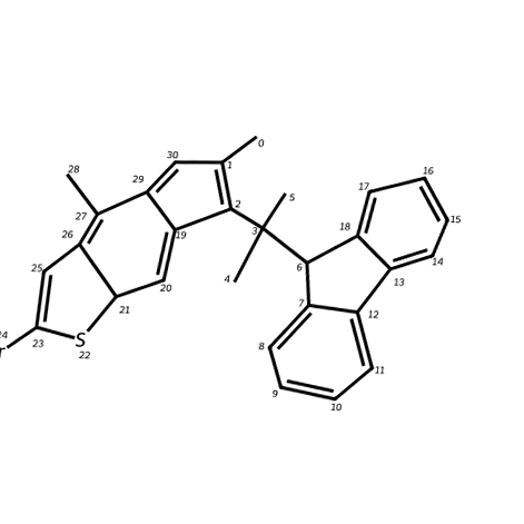 CC1=C(C(C)(C)C2c3ccccc3-c3ccccc32)C2=CC3SC(Br)=CC3=C(C)C2=C1